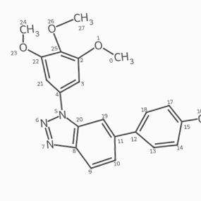 COc1cc(-n2nnc3ccc(-c4ccc(Cl)cc4)cc32)cc(OC)c1OC